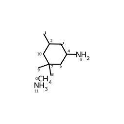 C.CC1CC(N)CC(C)(C)C1.N